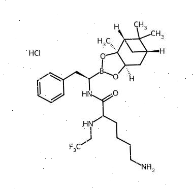 CC1(C)[C@@H]2C[C@H]3OB([C@H](Cc4ccccc4)NC(=O)C(CCCCN)NCC(F)(F)F)O[C@@]3(C)[C@H]1C2.Cl